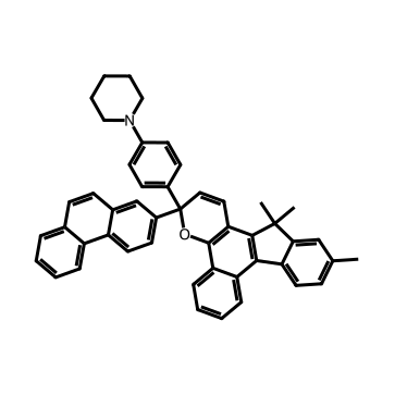 Cc1ccc2c(c1)C(C)(C)c1c3c(c4ccccc4c1-2)OC(c1ccc(N2CCCCC2)cc1)(c1ccc2c(ccc4ccccc42)c1)C=C3